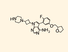 Nc1ncnc2c1c(-c1cc(OCC3CCCO3)ccc1F)cn2C1CC(N2CCNCC2)C1